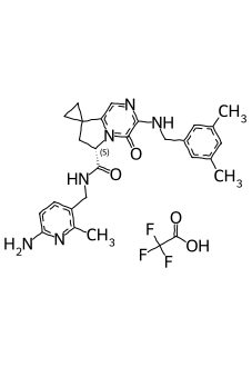 Cc1cc(C)cc(CNc2ncc3n(c2=O)[C@H](C(=O)NCc2ccc(N)nc2C)CC32CC2)c1.O=C(O)C(F)(F)F